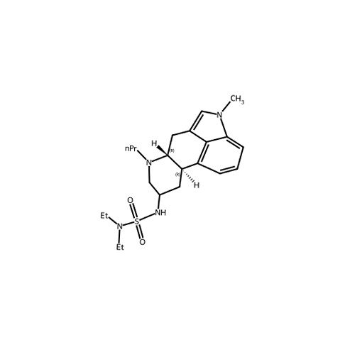 CCCN1CC(NS(=O)(=O)N(CC)CC)C[C@@H]2c3cccc4c3c(cn4C)C[C@H]21